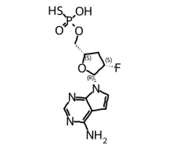 Nc1ncnc2c1ccn2[C@@H]1O[C@H](COP(=O)(O)S)C[C@@H]1F